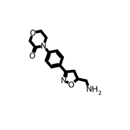 NCC1CC(c2ccc(N3CCOCC3=O)cc2)=NO1